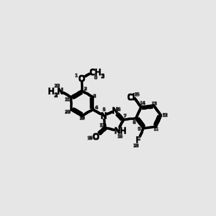 COc1cc(-n2nc(-c3c(F)cccc3Cl)[nH]c2=O)ccc1N